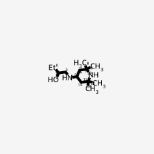 CCC(O)CNC1CC(C)(C)NC(C)(C)C1